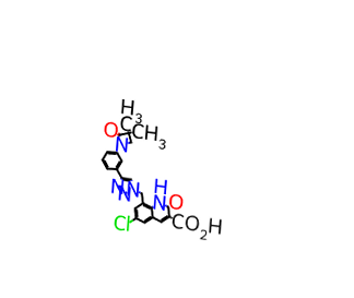 CC1(C)CN(c2cccc(-c3cn(Cc4cc(Cl)cc5cc(C(=O)O)c(=O)[nH]c45)nn3)c2)C1=O